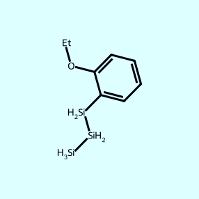 CCOc1ccccc1[SiH2][SiH2][SiH3]